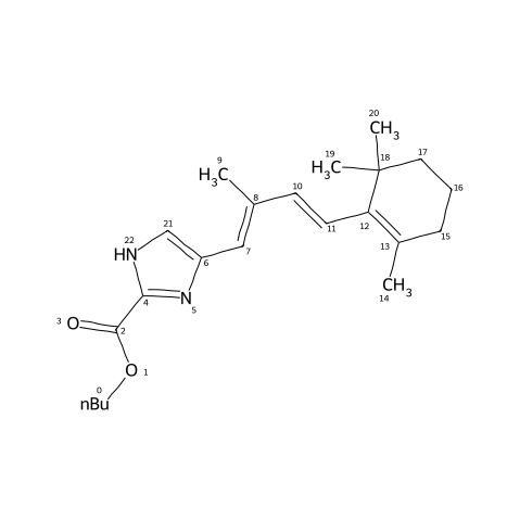 CCCCOC(=O)c1nc(C=C(C)C=CC2=C(C)CCCC2(C)C)c[nH]1